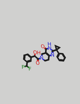 O=C(C(O)c1cccc(C(F)F)c1)N1CCc2nc(C3(c4ccccc4)CC3)[nH]c(=O)c2C1